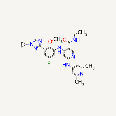 CCNC(=O)c1cnc(Nc2cc(C)nc(C)c2)cc1Nc1cc(F)cc(-c2ncn(C3CC3)n2)c1OC